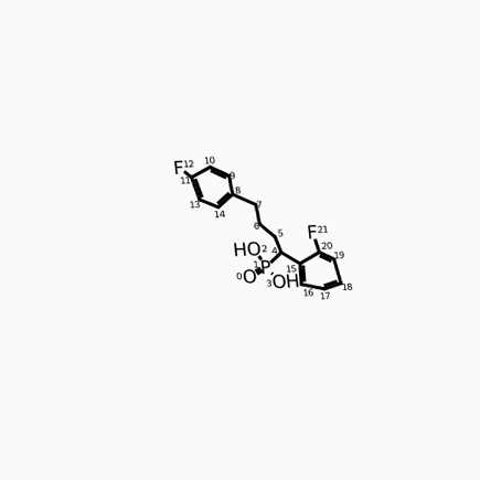 O=P(O)(O)C(CCCc1ccc(F)cc1)c1ccccc1F